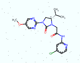 COc1cnc(N2C[C@H](C(C)C)N(CC(=O)Nc3cc(Cl)ccn3)C2=O)nc1